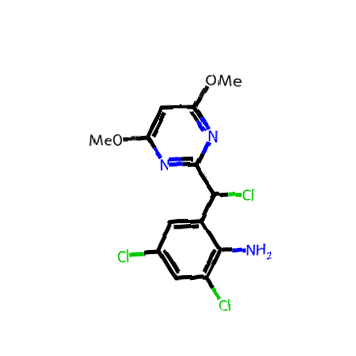 COc1cc(OC)nc(C(Cl)c2cc(Cl)cc(Cl)c2N)n1